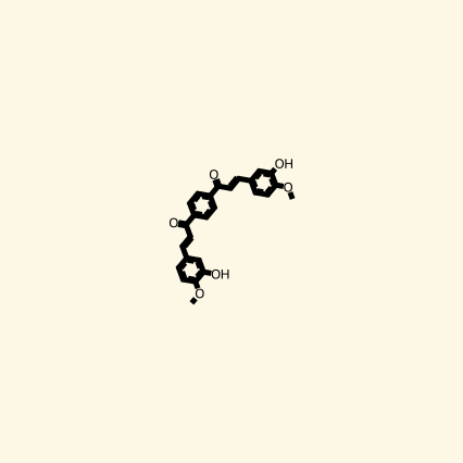 COc1ccc(C=CC(=O)c2ccc(C(=O)C=Cc3ccc(OC)c(O)c3)cc2)cc1O